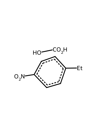 CCc1ccc([N+](=O)[O-])cc1.O=C(O)O